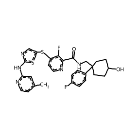 Cc1ccnc(Nc2ncc(Sc3ccnc(C(=O)NCC4(c5ccc(F)cc5)CCC(O)CC4)c3F)s2)c1